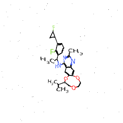 Cc1nc(NC(C)c2cccc(C3CC3F)c2F)c2cc3c(cc2n1)OCCOCC(C(C)C)O3